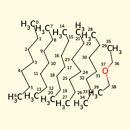 CCCCCCC.CCCCCCC.CCCCCCC.CCCCCCC.CCCCCCC.CCOCC